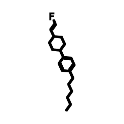 CCCCCCc1ccc(C2CCC(C=CF)CC2)cc1